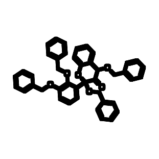 O=C1C(OCc2ccccc2)c2ccccc2OC1(OCc1ccccc1)c1cccc(OCc2ccccc2)c1OCc1ccccc1